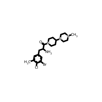 Cc1cc(CC(N)C(=O)N2CCC(N3CCN(C)CC3)CC2)cc(Br)c1Cl